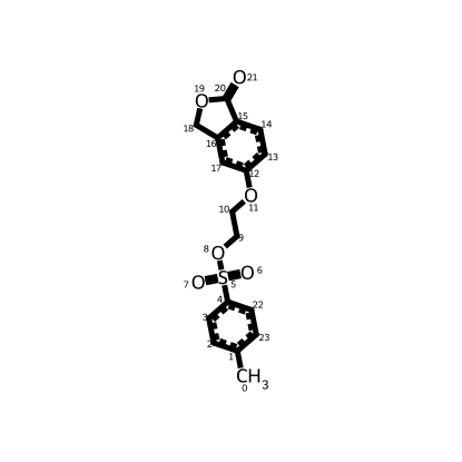 Cc1ccc(S(=O)(=O)OCCOc2ccc3c(c2)COC3=O)cc1